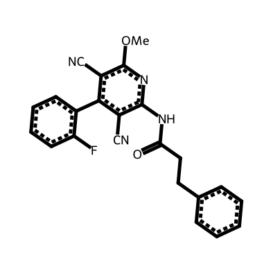 COc1nc(NC(=O)CCc2ccccc2)c(C#N)c(-c2ccccc2F)c1C#N